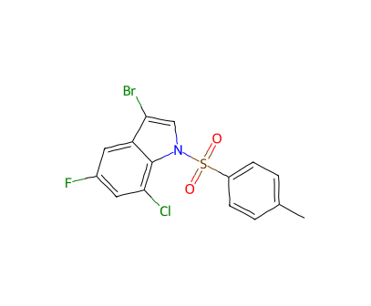 Cc1ccc(S(=O)(=O)n2cc(Br)c3cc(F)cc(Cl)c32)cc1